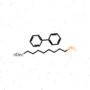 CCCCCCCCCCCCCCCCCCP.c1ccc(-c2ccccc2)cc1